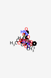 CC(C)OC(=O)[C@H](C)NP(C)(=O)O[C@@H]1[C@@H](COP(=O)(N[C@@H](C)C(=O)OC(C)C)Oc2ccccc2)O[C@@H](n2ccc(=O)[nH]c2=O)[C@]1(C)F